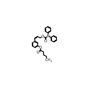 CCCCC(=O)Oc1cccc(/C=C\COC(=O)N(c2ccccc2)c2ccccc2)c1